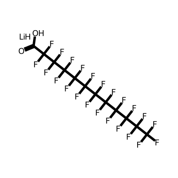 O=C(O)C(F)(F)C(F)(F)C(F)(F)C(F)(F)C(F)(F)C(F)(F)C(F)(F)C(F)(F)C(F)(F)C(F)(F)C(F)(F)F.[LiH]